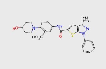 Cc1nn(-c2ccccc2)c2sc(C(=O)Nc3ccc(N4CCC(O)CC4)c(C(=O)O)c3)cc12